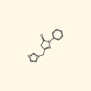 O=C1CC(Cn2ccnc2)=NN1c1ccccc1